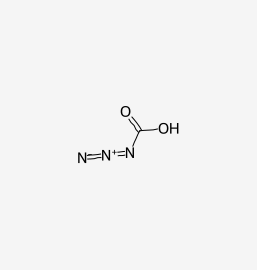 [N-]=[N+]=NC(=O)O